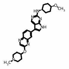 CO[C@H]1CC[C@@H](Nc2ncc3c(-c4ccc5ncc(OC6CCN(C)CC6)nc5c4)c[nH]c3n2)CC1